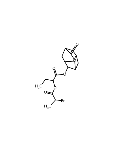 CCC(OC(=O)C(C)Br)C(=O)OC1C2CC3CC(C2)C(=O)OC1C3